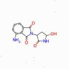 Nc1cccc2c1C(=O)N(C1CC(O)NC1=O)C2=O